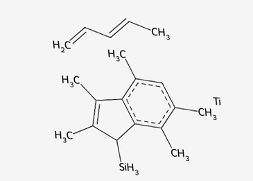 C=CC=CC.CC1=C(C)C([SiH3])c2c(C)c(C)cc(C)c21.[Ti]